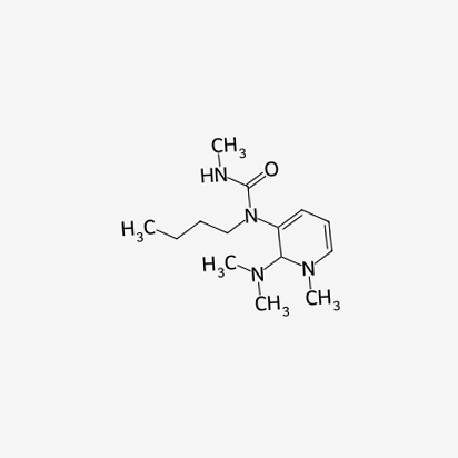 CCCCN(C(=O)NC)C1=CC=CN(C)C1N(C)C